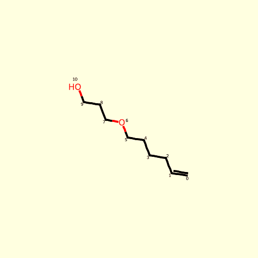 C=CCCCCOCCCO